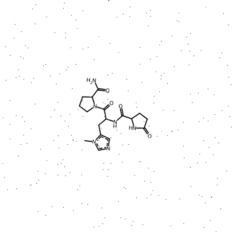 Cn1cncc1CC(NC(=O)C1CCC(=O)N1)C(=O)N1CCCC1C(N)=O